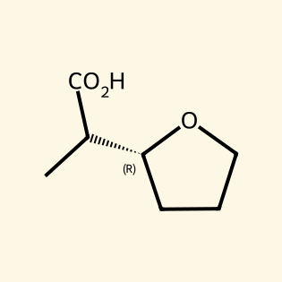 CC(C(=O)O)[C@H]1CCCO1